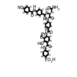 CC(C)Oc1c(NC(=O)c2ccc(NC(=O)[C@H](CC(N)=O)NC(=O)c3ccc(NC(=O)c4ccc(C#N)cc4)cc3)cc2)ccc(C(=O)Nc2ccc(C(=O)O)cc2)c1O